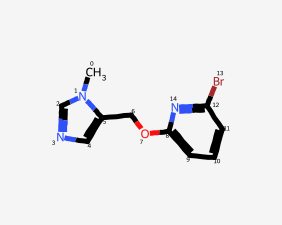 Cn1cncc1COc1cccc(Br)n1